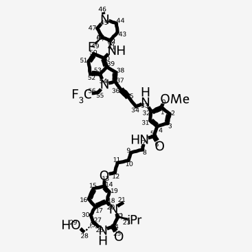 COc1ccc(C(=O)NCCCCCOc2ccc3c(c2)N(C)[C@@H](C(C)C)C(=O)N[C@H](CO)C3)cc1NCC#Cc1cc2c(N[C@@H]3CCN(C)C[C@@H]3F)cccc2n1CC(F)(F)F